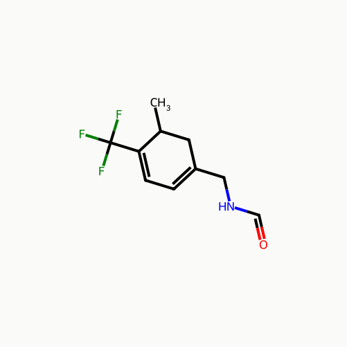 CC1CC(CNC=O)=CC=C1C(F)(F)F